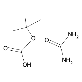 CC(C)(C)OC(=O)O.NC(N)=O